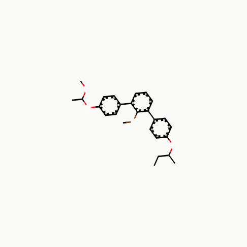 CCC(C)Oc1ccc(-c2cccc(-c3ccc(OC(C)OC)cc3)c2SC)cc1